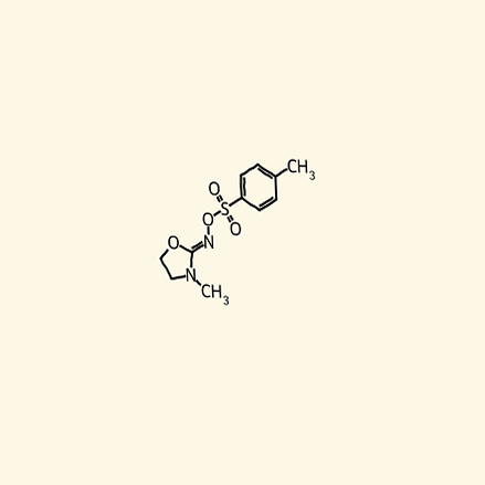 Cc1ccc(S(=O)(=O)O/N=C2\OCCN2C)cc1